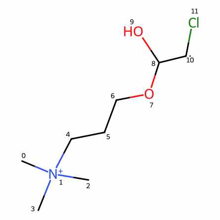 C[N+](C)(C)CCCOC(O)[CH]Cl